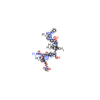 Cc1c(Nc2nc3ccccc3s2)nnc2c1CCCN2c1ccc(-c2cnn(CC34CC5(CCC[N+](C)(CCO)Cc6ccc(NC(=O)[C@H](CCCNC(N)=O)NC(=O)[C@@H](NC(=O)CCOCCN7C(=O)C=CC7=O)C(C)C)cc6)C[C@@](C)(C3)C[C@](C)(C5)C4)c2C)c(C(=O)O)n1